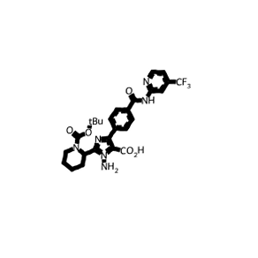 CC(C)(C)OC(=O)N1CCCCC1c1nc(-c2ccc(C(=O)Nc3cc(C(F)(F)F)ccn3)cc2)c(C(=O)O)n1N